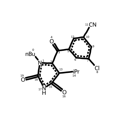 CCCCn1c(C(=O)c2cc(Cl)cc(C#N)c2)c(C(C)C)c(=O)[nH]c1=O